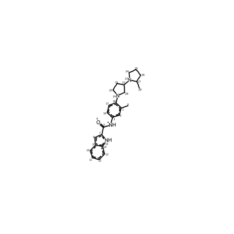 Cc1cc(NC(=O)c2cc3ccccc3[nH]2)ccc1N1CCC(N2CCCC2C)C1